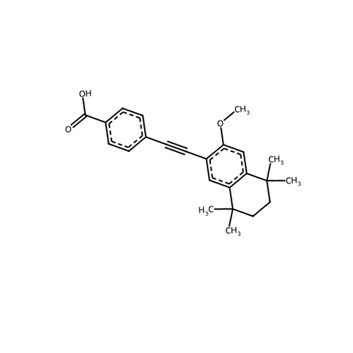 COc1cc2c(cc1C#Cc1ccc(C(=O)O)cc1)C(C)(C)CCC2(C)C